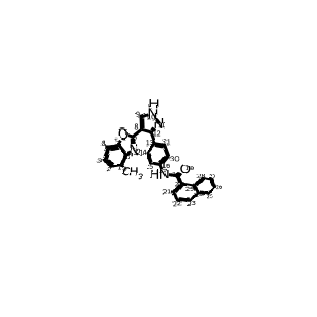 Cc1cccc2oc(-c3c[nH]nc3-c3ccc(NC(=O)c4cccc5ccccc45)cc3)nc12